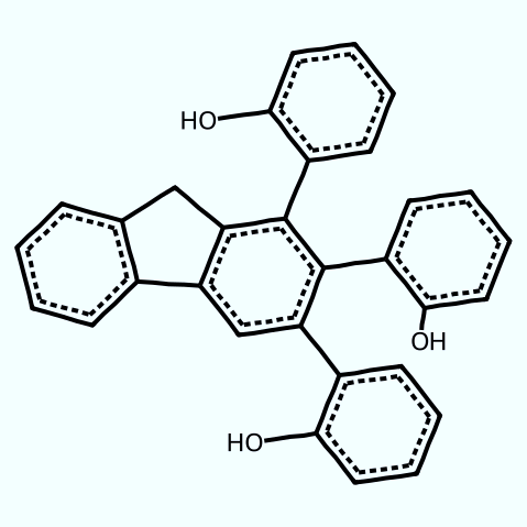 Oc1ccccc1-c1cc2c(c(-c3ccccc3O)c1-c1ccccc1O)Cc1ccccc1-2